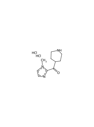 Cl.Cl.Cn1ccnc1C(=O)C1CCNCC1